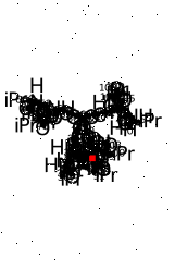 [2H]C(=O)C(CC(C)C)NC(=O)CC(NC(=O)CCOCOCC(COCOCC(=O)NC(CC(=O)NC(CC(C)C)C([2H])=O)C(=O)NC(CC(C)C)C([2H])=O)(COCOCC(=O)NC(CC(=O)NC(CC(C)C)C([2H])=O)C(=O)NC(CC(C)C)C([2H])=O)COCOC(=O)NC(CC(=O)NC(CC(C)C)C([2H])=O)C(=O)NC(CC(C)C)C([2H])=O)C(=O)NC(CC(C)C)C([2H])=O